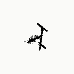 CCCCCCCCC(CCCCCC)C(=O)OCCCCCCN(CCCCCCOC(=O)C(CCCCCC)CCCCCCC)CCNC(=O)C(N)CCC(=O)NC(CS)C(=O)NCC(=O)O